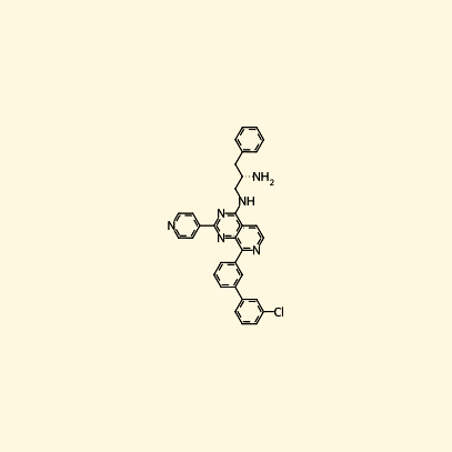 N[C@H](CNc1nc(-c2ccncc2)nc2c(-c3cccc(-c4cccc(Cl)c4)c3)nccc12)Cc1ccccc1